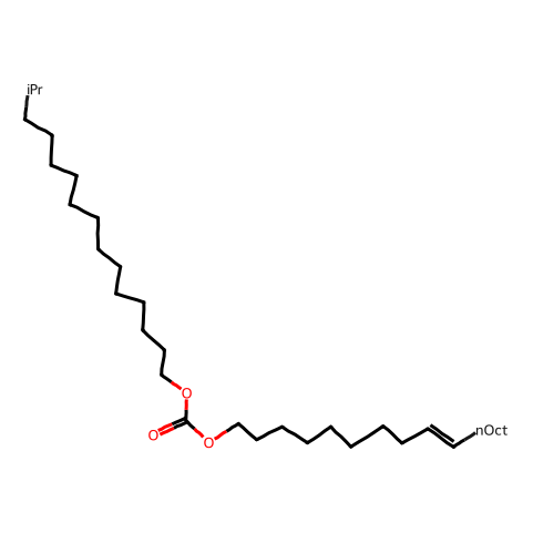 CCCCCCCCC=CCCCCCCCCOC(=O)OCCCCCCCCCCCCCC(C)C